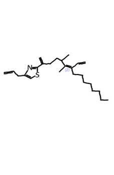 C=CCc1csc(C(=C)CCC(C)/C(C)=C(\C=C)CCCCCCCC)n1